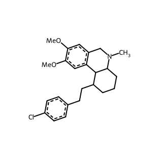 COc1cc2c(cc1OC)C1C(CCc3ccc(Cl)cc3)CCCC1N(C)C2